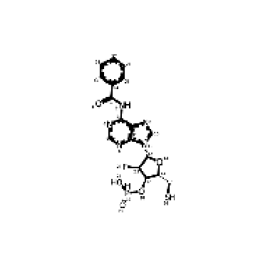 O=C(Nc1ncnc2c1ncn2[C@@H]1O[C@H](CS)[C@@H](O[PH](=O)O)[C@H]1F)c1ccccc1